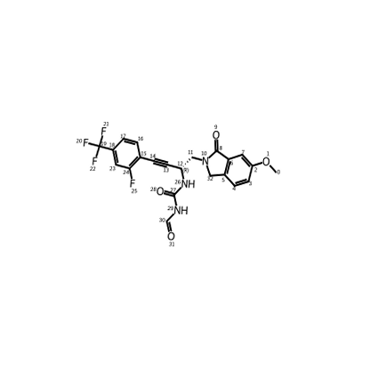 COc1ccc2c(c1)C(=O)N(C[C@@H](C#Cc1ccc(C(F)(F)F)cc1F)NC(=O)NC=O)C2